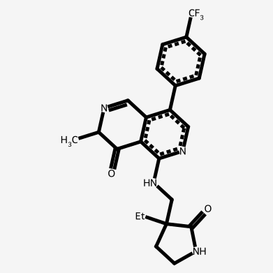 CCC1(CNc2ncc(-c3ccc(C(F)(F)F)cc3)c3c2C(=O)C(C)N=C3)CCNC1=O